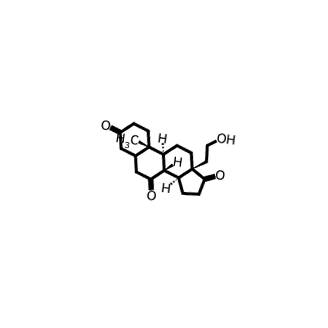 C[C@]12CCC(=O)CC1CC(=O)[C@H]1[C@@H]3CCC(=O)[C@@]3(CCO)CC[C@@H]12